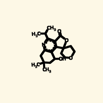 CC(C)c1nc2c(c3c1C(=O)OC31CCOCC1)C(O)CC(C)(C)C2